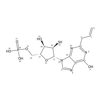 C=CCc1nc(O)c2ncn([C@@H]3O[C@H](COP(=O)(O)O)[C@@H](O)[C@H]3S)c2n1